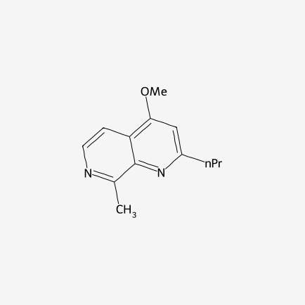 CCCc1cc(OC)c2ccnc(C)c2n1